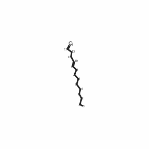 CCCCCCCCCC=CCCC=O